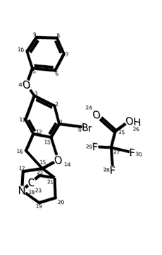 Brc1cc(Oc2ccccc2)cc2c1OC1(C2)CN2CCC1CC2.O=C(O)C(F)(F)F